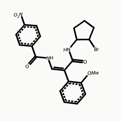 COc1ccccc1C(=CNC(=O)c1ccc([N+](=O)[O-])cc1)C(=O)NC1CCCC1Br